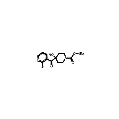 CC(C)(C)OC(=O)N1CCC(O)(C(=O)c2cccnc2F)CC1